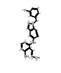 Nc1ncnc(Nc2ccc3c(cnn3Cc3cccc(F)c3)c2)c1C=NO